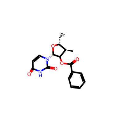 CC(C)[C@H]1O[C@@H](n2ccc(=O)[nH]c2=O)C(OC(=O)c2ccccc2)[C@@H]1C